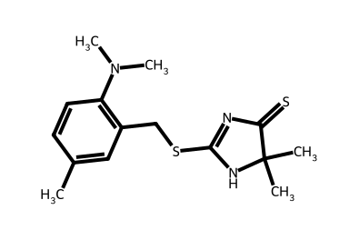 Cc1ccc(N(C)C)c(CSC2=NC(=S)C(C)(C)N2)c1